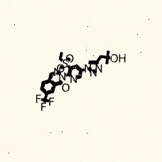 CCS(=O)(=O)c1cc(-n2cc(CC(C)(C)O)nn2)cnc1-n1ncc2ccc(C(F)(F)F)cc2c1=O